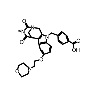 CN1C(=O)C2CN(Cc3c2c2cc(OCCN4CCOCC4)ccc2n3Cc2ccc(C(=O)O)cc2)C1=O